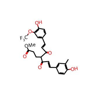 COC(=O)CCC(C(=O)/C=C/c1ccc(O)c(C)c1)C(=O)/C=C/c1ccc(O)c(OC(F)(F)F)c1